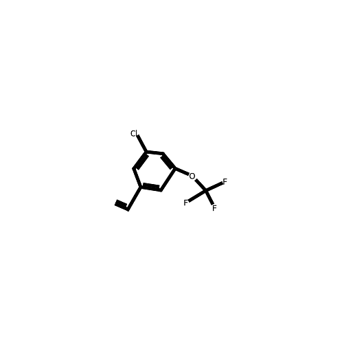 C=[C]c1cc(Cl)cc(OC(F)(F)F)c1